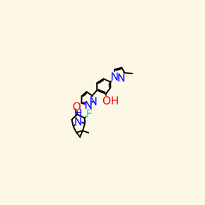 Cc1ccn(-c2ccc(-c3ccc(OC4CC5NC(C4F)C4(C)CC54)nn3)c(O)c2)n1